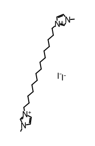 Cn1cc[n+](CCCCCCCCCCCCCCC[n+]2ccn(C)c2)c1.[I-].[I-]